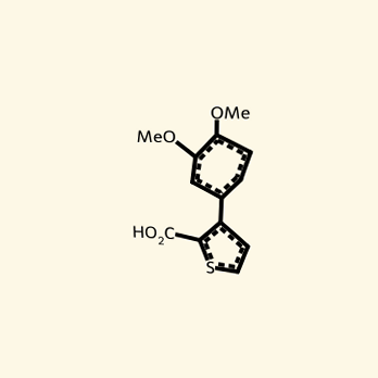 COc1ccc(-c2ccsc2C(=O)O)cc1OC